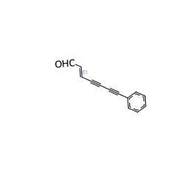 O=C/C=C/C#CC#Cc1ccccc1